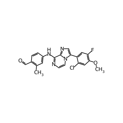 COc1cc(Cl)c(-c2cnc3c(Nc4ccc(C=O)c(C)c4)nccn23)cc1F